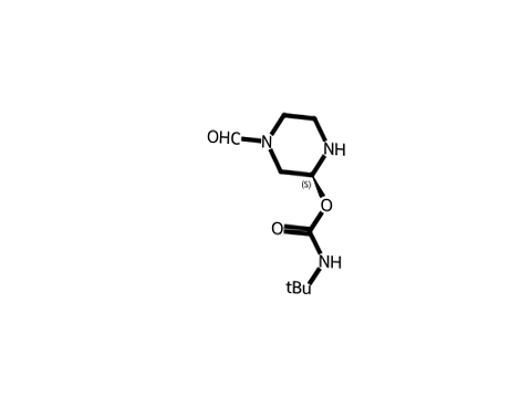 CC(C)(C)NC(=O)O[C@H]1CN(C=O)CCN1